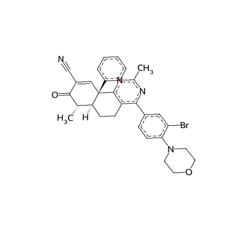 Cc1nc(-c2ccc(N3CCOCC3)c(Br)c2)c2c(n1)[C@@]1(c3ccccc3)C=C(C#N)C(=O)[C@@H](C)[C@@H]1CC2